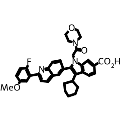 COc1ccc(F)c(-c2ccc3cc(-c4c(C5CCCCC5)c5ccc(C(=O)O)cc5n4CC(=O)N4CCOCC4)ccc3n2)c1